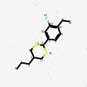 CCCC1CSC(c2ccc(CC)c(F)c2)SC1